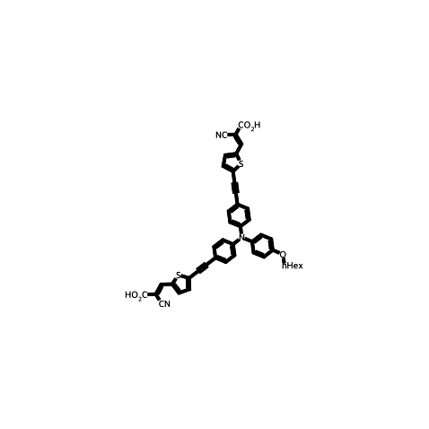 CCCCCCOc1ccc(N(c2ccc(C#Cc3ccc(/C=C(\C#N)C(=O)O)s3)cc2)c2ccc(C#Cc3ccc(/C=C(\C#N)C(=O)O)s3)cc2)cc1